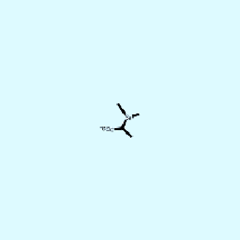 CC(C(=O)[O-])[Se+](C)C